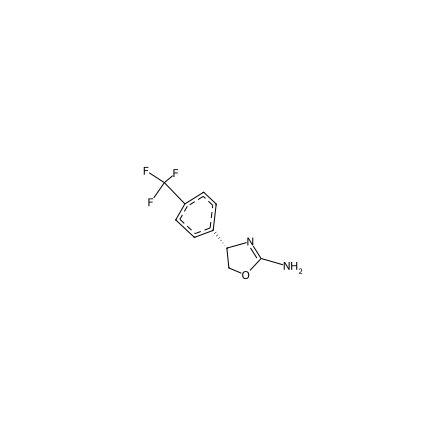 NC1=N[C@@H](c2ccc(C(F)(F)F)cc2)CO1